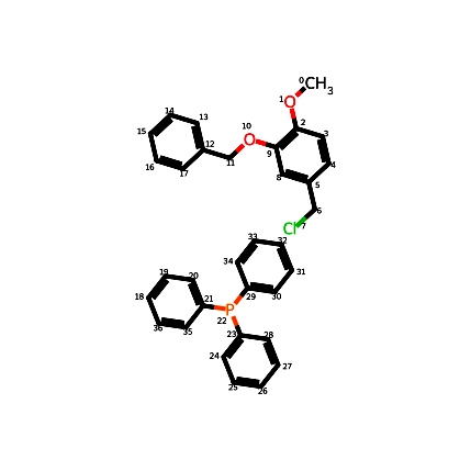 COc1ccc(CCl)cc1OCc1ccccc1.c1ccc(P(c2ccccc2)c2ccccc2)cc1